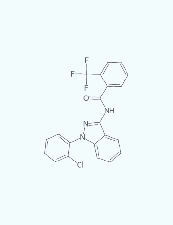 O=C(Nc1nn(-c2ccccc2Cl)c2ccccc12)c1ccccc1C(F)(F)F